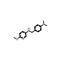 COc1ccc(NCc2ccc(N(C)C)cc2)cn1